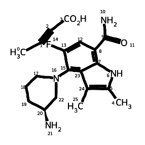 CC#CC(=O)O.Cc1[nH]c2c(C(N)=O)cc(F)c(N3CCC[C@H](N)C3)c2c1C